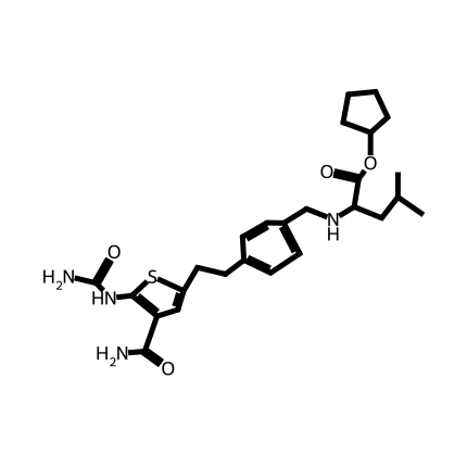 CC(C)CC(NCc1ccc(CCc2cc(C(N)=O)c(NC(N)=O)s2)cc1)C(=O)OC1CCCC1